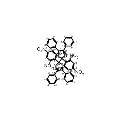 O=[N+]([O-])c1cc([N+](=O)[O-])c(C2(C3(c4c([N+](=O)[O-])cc([N+](=O)[O-])cc4[N+](=O)[O-])N=C(c4ccccc4)C(c4ccccc4)=N3)N=C(c3ccccc3)C(c3ccccc3)=N2)c([N+](=O)[O-])c1